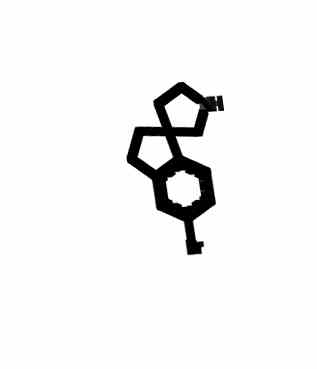 Brc1ccc2c(c1)CCC21CCNC1